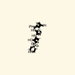 CC(C)c1csc([C@H](Nc2nsnc2Nc2csc(S(=O)(=O)N3CCNCC3)c2O)C(C)C)c1